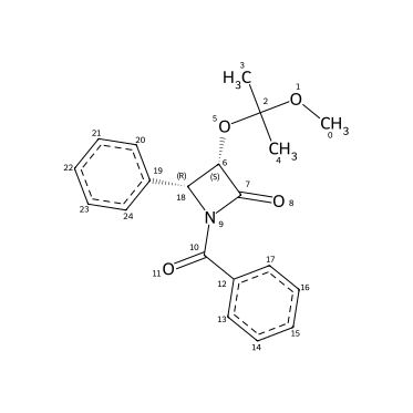 COC(C)(C)O[C@@H]1C(=O)N(C(=O)c2ccccc2)[C@@H]1c1ccccc1